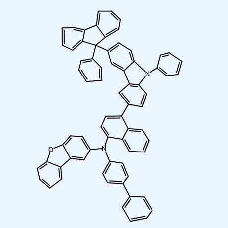 c1ccc(-c2ccc(N(c3ccc4oc5ccccc5c4c3)c3ccc(-c4ccc5c(c4)c4cc(C6(c7ccccc7)c7ccccc7-c7ccccc76)ccc4n5-c4ccccc4)c4ccccc34)cc2)cc1